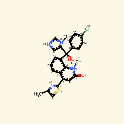 Cc1csc(-c2cc(=O)n(C)c3c(C(O)(c4ccc(Cl)cc4)c4cncn4C)cccc23)n1